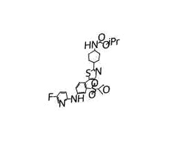 CC(C)OC(=O)NC1CCC(c2ncc(-c3ccc(Nc4ccc(F)cn4)cc3S(=O)(=O)C3COC3)s2)CC1